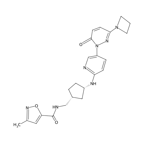 Cc1cc(C(=O)NC[C@@H]2CC[C@H](Nc3ccc(-n4nc(N5CCC5)ccc4=O)cn3)C2)on1